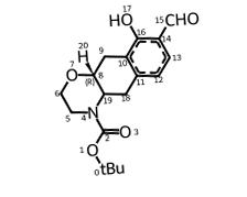 CC(C)(C)OC(=O)N1CCO[C@@H]2Cc3c(ccc(C=O)c3O)CC21